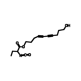 CCC(N=C=O)C(=O)OCCCC#CC#CCCCO